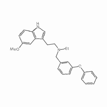 CCN(CCc1c[nH]c2ccc(OC)cc12)Cc1cccc(Oc2ccccc2)c1